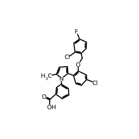 Cc1ccc(-c2ccc(Cl)cc2OCc2ccc(F)cc2Cl)n1-c1cccc(C(=O)O)c1